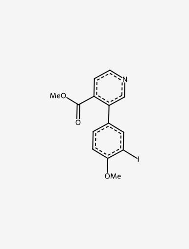 COC(=O)c1ccncc1-c1ccc(OC)c(I)c1